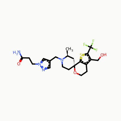 C[C@H]1C[C@@]2(CCN1Cc1cnn(CCC(N)=O)c1)OCCc1c2sc(C(F)(F)F)c1CO